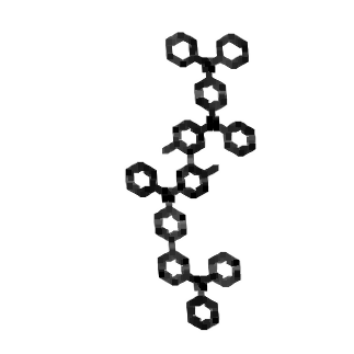 Cc1ccc(N(c2ccccc2)c2ccc(-c3cccc(N(c4ccccc4)c4ccccc4)c3)cc2)cc1-c1cc(N(c2ccccc2)c2ccc(N(C3=CC=CCC3)C3C=CC=CC3)cc2)ccc1C